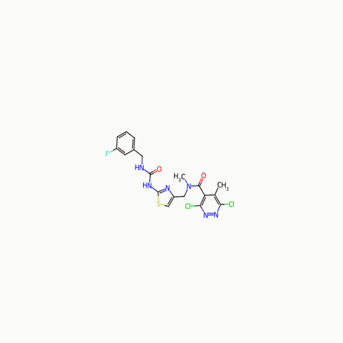 Cc1c(Cl)nnc(Cl)c1C(=O)N(C)Cc1csc(NC(=O)NCc2cccc(F)c2)n1